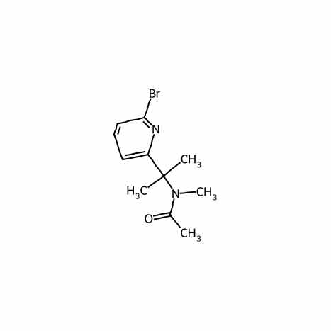 CC(=O)N(C)C(C)(C)c1cccc(Br)n1